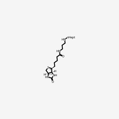 CCCCCCCNCCCNC(=O)CCCC[C@@H]1SC[C@@H]2NC(=O)N[C@@H]21